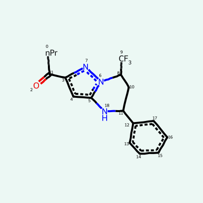 CCCC(=O)c1cc2n(n1)C(C(F)(F)F)CC(c1ccccc1)N2